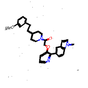 COc1cccc(CCC2CCN(C(=O)COc3cccnc3-c3ccc4c(ccn4C)c3)CC2)c1